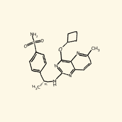 Cc1ccc2nc(N[C@H](C)c3ccc(S(N)(=O)=O)cc3)nc(OC3CCC3)c2n1